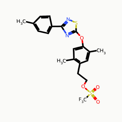 Cc1ccc(-c2nsc(Oc3cc(C)c(CCOS(=O)(=O)C(F)(F)F)cc3C)n2)cc1